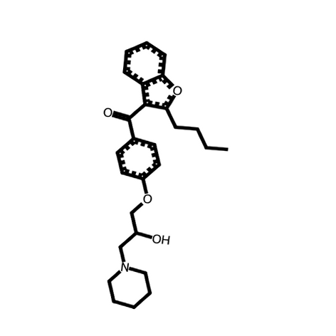 CCCCc1oc2ccccc2c1C(=O)c1ccc(OCC(O)CN2CCCCC2)cc1